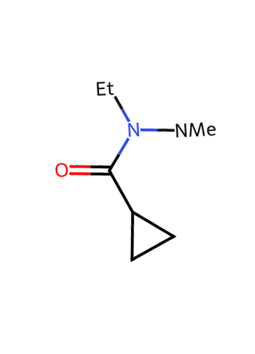 CCN(NC)C(=O)C1CC1